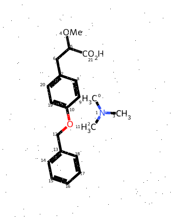 CN(C)C.COC(Cc1ccc(OCc2ccccc2)cc1)C(=O)O